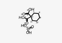 O=C(O)C1(C(=O)O)CCCCC1.O=[Se](O)O